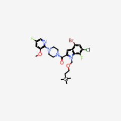 COc1cc(F)cnc1N1CCN(C(=O)c2cc3c(Br)cc(Cl)c(F)c3n2COCC[Si](C)(C)C)CC1